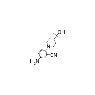 CC(C)(O)C1CCN(c2ccc(N)cc2C#N)CC1